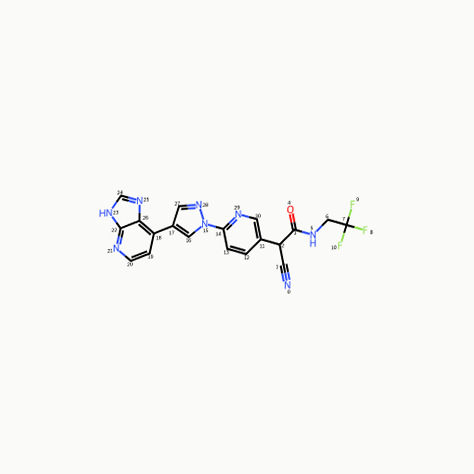 N#CC(C(=O)NCC(F)(F)F)c1ccc(-n2cc(-c3ccnc4[nH]cnc34)cn2)nc1